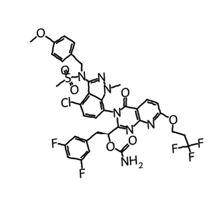 COc1ccc(CN(c2nn(C)c3c(-n4c([C@H](Cc5cc(F)cc(F)c5)OC(N)=O)nc5nc(OCCC(F)(F)F)ccc5c4=O)ccc(Cl)c23)S(C)(=O)=O)cc1